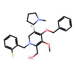 COC1=C(CO)N(Cc2ccccc2F)CC([C@@H]2CCCN2C)=C1OCc1ccccc1